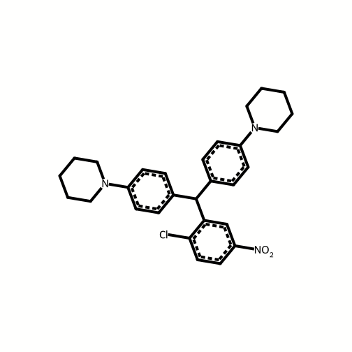 O=[N+]([O-])c1ccc(Cl)c(C(c2ccc(N3CCCCC3)cc2)c2ccc(N3CCCCC3)cc2)c1